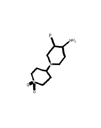 NC1CCN(C2CCS(=O)(=O)CC2)CC1F